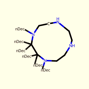 CCCCCCCCCCN1CCNCCNCCN(CCCCCCCCCC)C(CCCCCCCCCC)(CCCCCCCCCC)C1(CCCCCCCCCC)CCCCCCCCCC